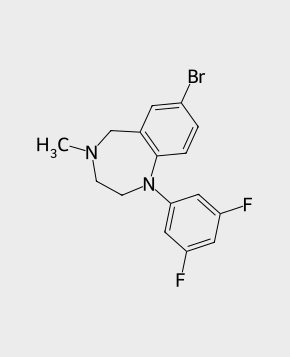 CN1CCN(c2cc(F)cc(F)c2)c2ccc(Br)cc2C1